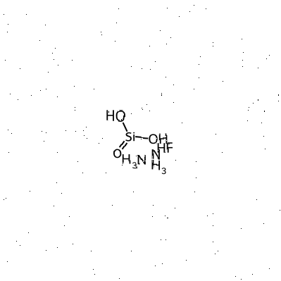 F.N.N.O=[Si](O)O